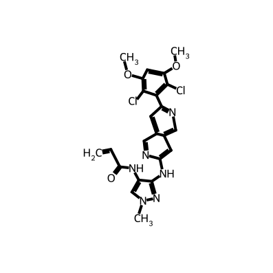 C=CC(=O)Nc1cn(C)nc1Nc1cc2cnc(-c3c(Cl)c(OC)cc(OC)c3Cl)cc2cn1